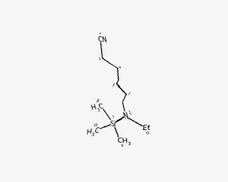 CCN(CCCCC#N)[Si](C)(C)C